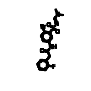 CN(C)/C=N/S(=O)(=O)c1cc(NC(=O)Cc2ccccc2F)ccc1Br